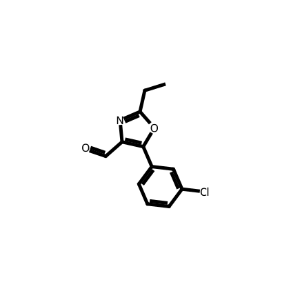 CCc1nc(C=O)c(-c2cccc(Cl)c2)o1